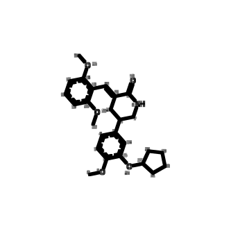 COc1ccc(C2CNC(=O)C(=Cc3c(OC)cccc3OC)C2)cc1OC1CCCC1